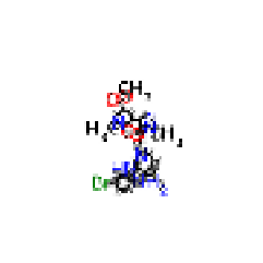 COC(=O)c1cc(-c2cnn(C)c2OCCN2CCCCC(C)(Nc3cc(Br)ccc3N)C2)c(=O)n(C)c1